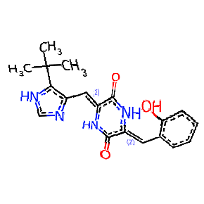 CC(C)(C)c1[nH]cnc1/C=c1\[nH]c(=O)/c(=C/c2ccccc2O)[nH]c1=O